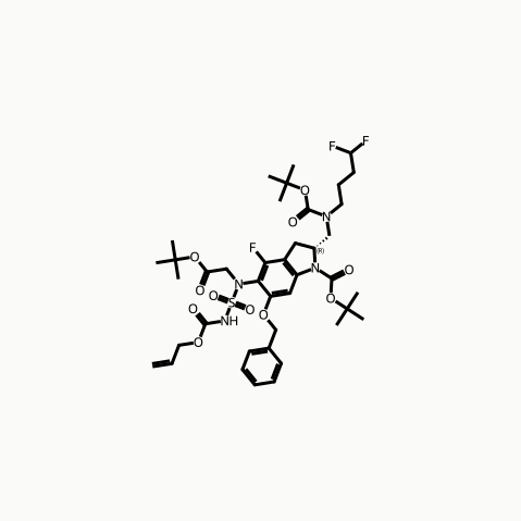 C=CCOC(=O)NS(=O)(=O)N(CC(=O)OC(C)(C)C)c1c(OCc2ccccc2)cc2c(c1F)C[C@H](CN(CCCC(F)F)C(=O)OC(C)(C)C)N2C(=O)OC(C)(C)C